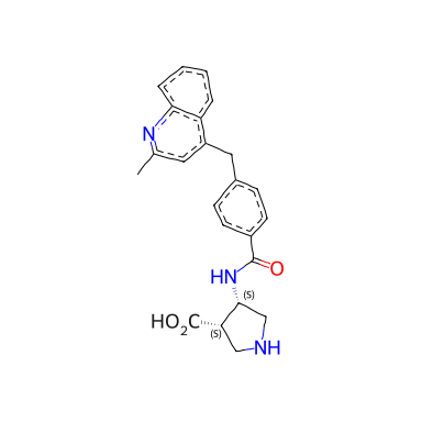 Cc1cc(Cc2ccc(C(=O)N[C@@H]3CNC[C@@H]3C(=O)O)cc2)c2ccccc2n1